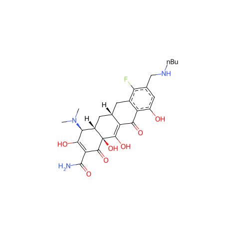 CCCCNCc1cc(O)c2c(c1F)C[C@H]1C[C@H]3[C@H](N(C)C)C(O)=C(C(N)=O)C(=O)[C@@]3(O)C(O)=C1C2=O